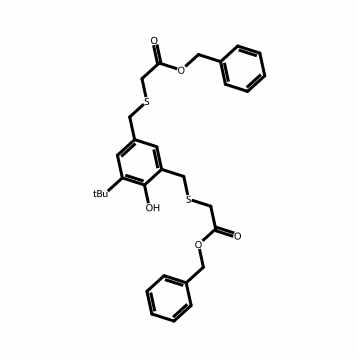 CC(C)(C)c1cc(CSCC(=O)OCc2ccccc2)cc(CSCC(=O)OCc2ccccc2)c1O